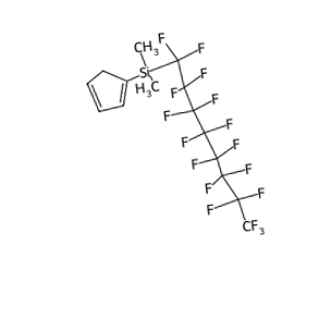 C[Si](C)(C1=CC=CC1)C(F)(F)C(F)(F)C(F)(F)C(F)(F)C(F)(F)C(F)(F)C(F)(F)C(F)(F)F